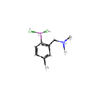 CCN(CC)Cc1cc(C(C)C)ccc1P(Cl)Cl